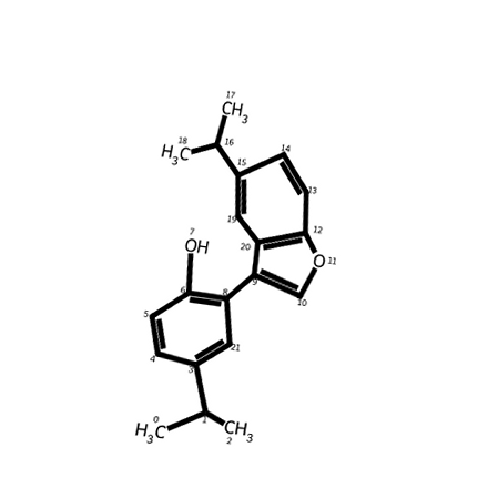 CC(C)c1ccc(O)c(-c2coc3ccc(C(C)C)cc23)c1